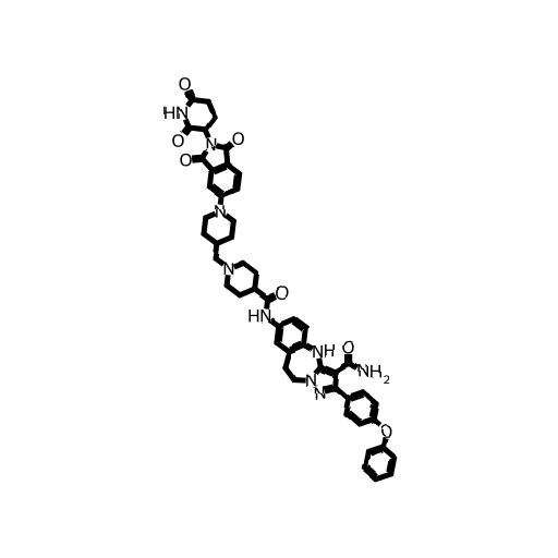 NC(=O)c1c(-c2ccc(Oc3ccccc3)cc2)nn2c1Nc1ccc(NC(=O)C3CCN(CC4CCN(c5ccc6c(c5)C(=O)N(C5CCC(=O)NC5=O)C6=O)CC4)CC3)cc1CC2